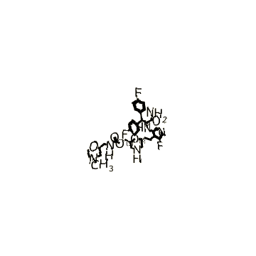 CN1CCOC(CNC(=O)OC[C@@H]2CNC[C@@H](CCc3c(F)cncc3N[C@H](C(N)=O)C(c3ccc(F)cc3)c3ccc(F)cc3)O2)C1